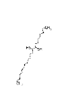 CCCCCCCCCCCCCC(S)C(S)CCCCCCCC